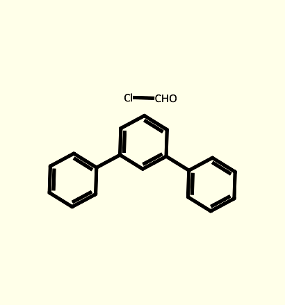 O=CCl.c1ccc(-c2cccc(-c3ccccc3)c2)cc1